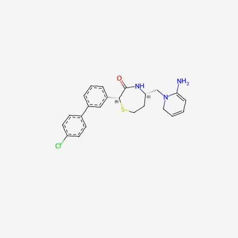 NC1=CC=CCN1C[C@@H]1CCS[C@H](c2cccc(-c3ccc(Cl)cc3)c2)C(=O)N1